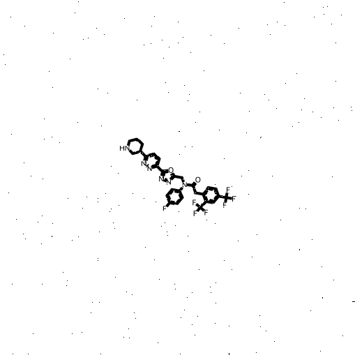 O=C(Cc1ccc(C(F)(F)F)cc1C(F)(F)F)N(Cc1nnc(-c2ccc(C3CCCNC3)nn2)o1)c1ccc(F)cc1